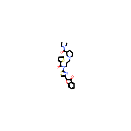 CCN(CC)C(=O)C1CCCN(CCCN(C(=O)c2cccs2)c2nc(C3Oc4ccccc4C3=O)cs2)C1